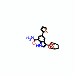 NC(=O)c1cc(-c2cccs2)cc2c(C3CC4CCC(C3)S4(=O)=O)c[nH]c12